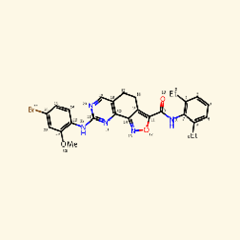 CCc1cccc(CC)c1NC(=O)c1onc2c1CCc1cnc(Nc3ccc(Br)cc3OC)nc1-2